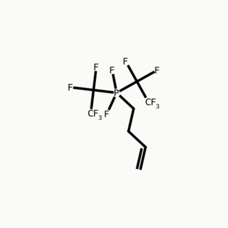 C=CCCP(F)(F)(C(F)(F)C(F)(F)F)C(F)(F)C(F)(F)F